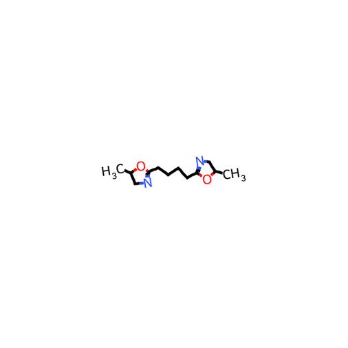 CC1CN=C(CCCCC2=NCC(C)O2)O1